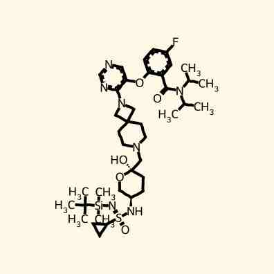 CC(C)N(C(=O)c1cc(F)ccc1Oc1cncnc1N1CC2(CCN(C[C@@]3(O)CC[C@@H](NS(=O)(=N[Si](C)(C)C(C)(C)C)C4CC4)CO3)CC2)C1)C(C)C